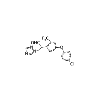 O=CC(Cn1cncn1)c1ccc(Oc2ccc(Cl)cc2)cc1C(F)(F)F